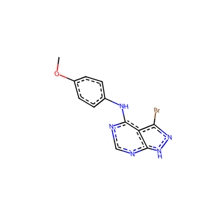 COc1ccc(Nc2ncnc3[nH]nc(Br)c23)cc1